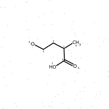 CC(CC[O])C(=O)O